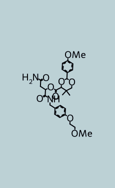 COCCOc1ccc(CNC(=O)C(CC(N)=O)OC(=O)C2OC(c3ccc(OC)cc3)OCC2(C)C)cc1